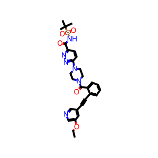 CCOc1cncc(C#Cc2ccccc2C(=O)N2CCN(c3ccc(C(=O)NS(=O)(=O)C(C)(C)C)nn3)CC2)c1